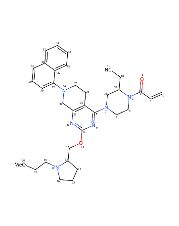 C=CC(=O)N1CCN(c2nc(OCC3CCCN3CCOC)nc3c2CCN(c2cccc4ccccc24)C3)CC1CC#N